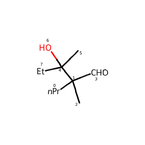 CCCC(C)(C=O)C(C)(O)CC